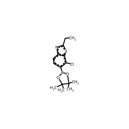 CCc1nc2ccc(B3OC(C)(C)C(C)(C)O3)c(Cl)c2s1